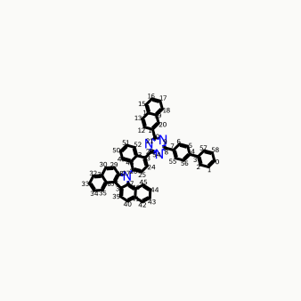 c1ccc(-c2ccc(-c3nc(-c4ccc5ccccc5c4)nc(-c4ccc(-n5c6ccc7ccccc7c6c6ccc7ccccc7c65)c5ccccc45)n3)cc2)cc1